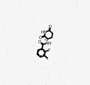 O=C1CC[C@H](NC(=O)c2cccc(I)c2F)C(=O)N1